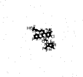 Cn1ncc2c(Cl)ccc(-c3ccc(C#CC(C)(C)O)nc3[C@H](Cc3cc(F)cc(F)c3)NC(=O)Cn3nc(C(F)F)c4c3C(F)(F)[C@@H]3C[C@H]43)c21